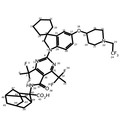 CC(F)(F)c1nc(N2CC3(CCCCC3)c3cc(OC4CCN(CC(F)(F)F)CC4)ccc32)nc(C(C)(F)F)c1C(=O)NC1(C(=O)O)C2CC3CC(C2)CC1C3